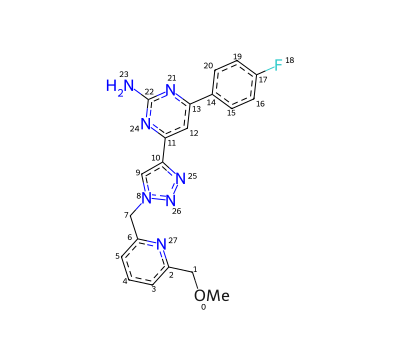 COCc1cccc(Cn2cc(-c3cc(-c4ccc(F)cc4)nc(N)n3)nn2)n1